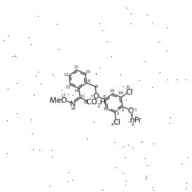 CCCOc1c(Cl)cc(OCc2ccccc2/C(=N\OC)C(=O)O)cc1Cl